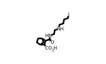 O=C(O)C1C2CCC(C2)C1C(=O)NCCNCCCCI